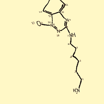 NCCCCCCNc1nc2ccccc2[n+]([O-])n1